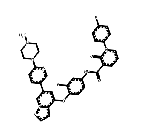 CN1CCN(c2ccc(-c3cc(Oc4ccc(NC(=O)c5cccn(-c6ccc(F)cc6)c5=O)cc4F)c4ccnn4c3)cn2)CC1